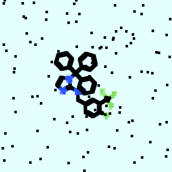 Fc1ccc(CNc2nccn2C(c2ccccc2)(c2ccccc2)c2ccccc2)cc1C(F)(F)F